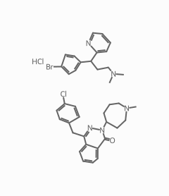 CN(C)CCC(c1ccc(Br)cc1)c1ccccn1.CN1CCCC(n2nc(Cc3ccc(Cl)cc3)c3ccccc3c2=O)CC1.Cl